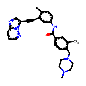 Cc1ccc(NC(=O)c2ccc(CN3CCN(C)CC3)c(C(F)(F)F)c2)cc1C#Cc1cnc2cccnn12